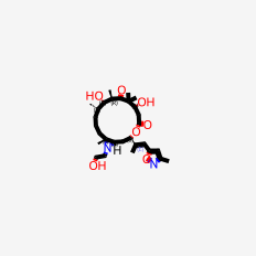 C/C(=C\c1cc(C)no1)[C@@H]1C[C@@H]2N(CCO)[C@]2(C)CCC[C@H](C)[C@H](O)[C@@H](C)C(=O)C(C)(C)[C@@H](O)CC(=O)O1